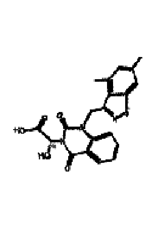 Cc1cc(C)c2c(Cn3c(=O)n([C@H](O)C(=O)O)c(=O)c4ccccc43)nsc2c1